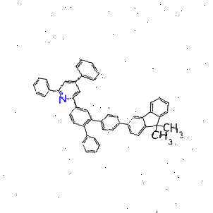 CC1(C)c2ccccc2-c2cc(-c3ccc(-c4cc(-c5cc(-c6ccccc6)cc(-c6ccccc6)n5)ccc4-c4ccccc4)cc3)ccc21